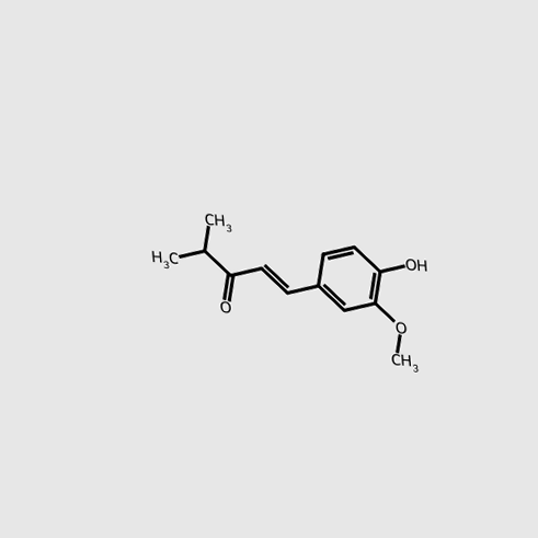 COc1cc(/C=C/C(=O)C(C)C)ccc1O